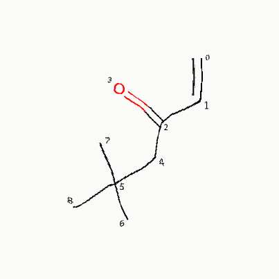 C=CC(=O)CC(C)(C)C